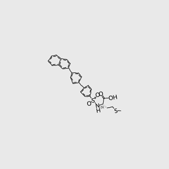 CSCC[C@H](NS(=O)(=O)c1ccc(-c2ccc(-c3ccc4ccccc4c3)cc2)cc1)C(=O)O